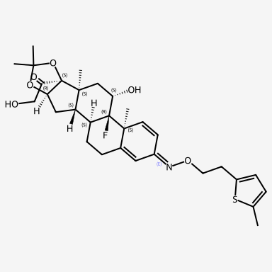 Cc1ccc(CCO/N=C2\C=C[C@@]3(C)C(=C2)CC[C@H]2[C@@H]4C[C@H]5OC(C)(C)O[C@@]5(C(=O)CO)[C@@]4(C)C[C@H](O)[C@@]23F)s1